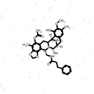 COc1c(C)cc2c(c1O)[C@@H]1C3Cc4c(OC(C)=O)c(C)c5c(c4[C@H](CNC(=O)CCc4ccccc4)N3[C@@H](O)[C@H](C2)N1C)OCO5